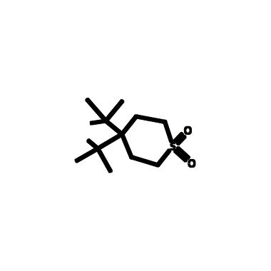 CC(C)(C)C1(C(C)(C)C)CCS(=O)(=O)CC1